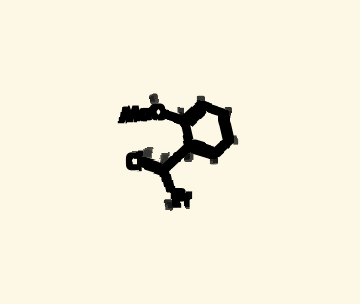 COc1ccccc1C(Cl)C(C)C